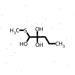 CCCC(O)(O)[C](O)SC